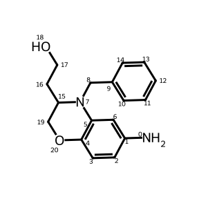 Nc1ccc2c(c1)N(Cc1ccccc1)C(CCO)CO2